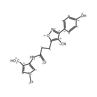 CCn1cc(NC(=O)CCc2onc(-c3ccc(O)cc3)c2C#N)c(C(=O)O)c1